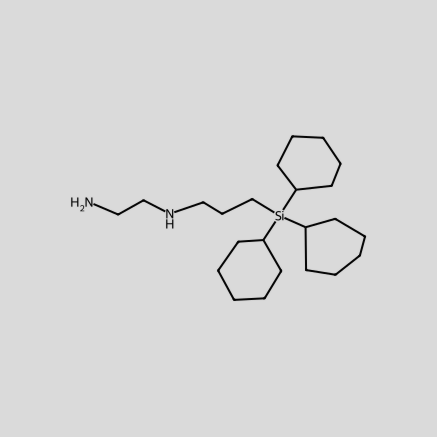 NCCNCCC[Si](C1CCCCC1)(C1CCCCC1)C1CCCCC1